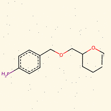 Pc1ccc(COCC2CCC=CO2)cc1